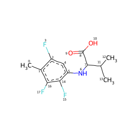 Cc1c(F)cc(NC(C(=O)O)C(C)C)c(F)c1F